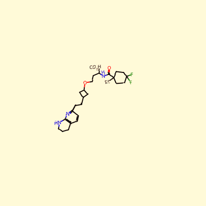 CCC1(C(=O)NC(CCOC2CC(CCc3ccc4c(n3)NCCC4)C2)C(=O)O)CCC(F)(F)CC1